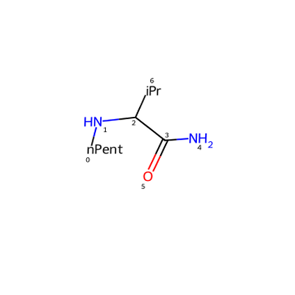 CCCCCNC(C(N)=O)C(C)C